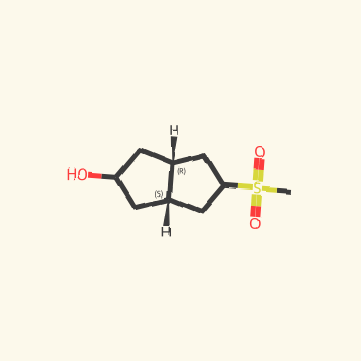 CS(=O)(=O)C1C[C@H]2CC(O)C[C@H]2C1